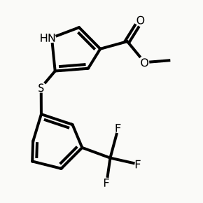 COC(=O)c1c[nH]c(Sc2cccc(C(F)(F)F)c2)c1